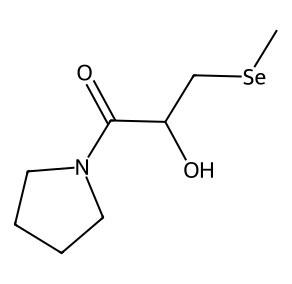 C[Se]CC(O)C(=O)N1CCCC1